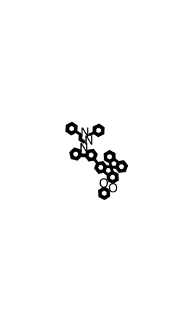 c1ccc(-c2cc(-n3c4ccccc4c4cc(-c5ccc6c(c5)C5(c7ccccc7-c7ccccc75)c5ccc7c(c5-6)Oc5ccccc5O7)ccc43)nc(-c3ccccc3)n2)cc1